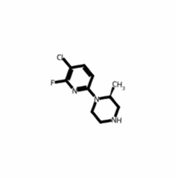 C[C@H]1CNCCN1c1ccc(Cl)c(F)n1